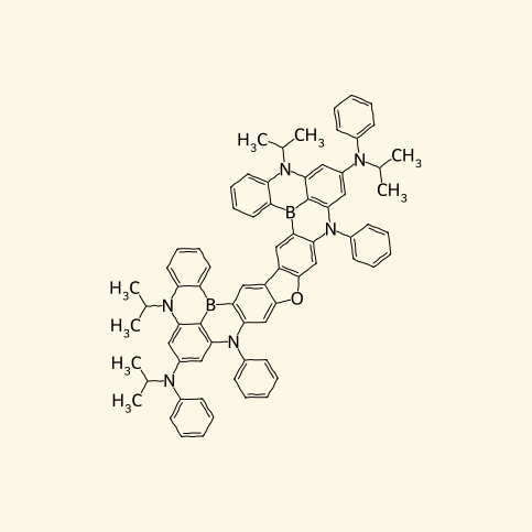 CC(C)N(c1ccccc1)c1cc2c3c(c1)N(C(C)C)c1ccccc1B3c1cc3c(cc1N2c1ccccc1)oc1cc2c(cc13)B1c3ccccc3N(C(C)C)c3cc(N(c4ccccc4)C(C)C)cc(c31)N2c1ccccc1